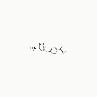 COC(=O)c1ccc(CNCC(=N)N)cc1